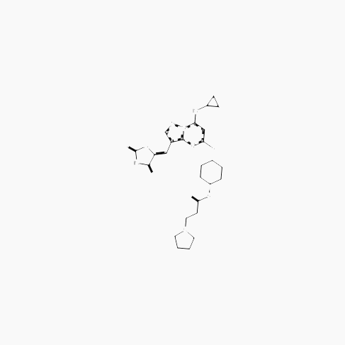 O=C1NC(=O)/C(=C/c2cnn3c(NC4CC4)cc(N[C@H]4CC[C@H](NC(=O)CCN5CCCC5)CC4)nc23)N1